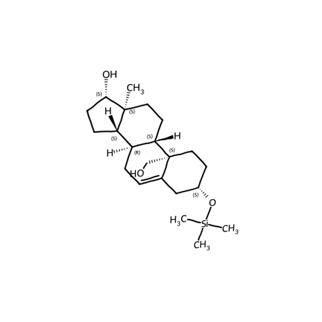 C[C@]12CC[C@H]3[C@@H](CC=C4C[C@@H](O[Si](C)(C)C)CC[C@@]43CO)[C@@H]1CC[C@@H]2O